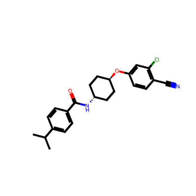 CC(C)c1ccc(C(=O)N[C@H]2CC[C@H](Oc3ccc(C#N)c(Cl)c3)CC2)cc1